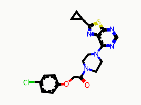 O=C(COc1ccc(Cl)cc1)N1CCN(c2ncnc3sc(C4CC4)nc23)CC1